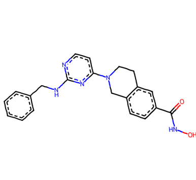 O=C(NO)c1ccc2c(c1)CCN(c1ccnc(NCc3ccccc3)n1)C2